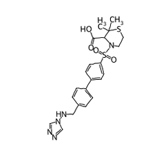 CC1(C)SCCN(S(=O)(=O)c2ccc(-c3ccc(CNn4cnnc4)cc3)cc2)C1C(=O)O